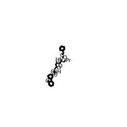 CC(C)C[C@H](NC(=O)OCc1ccccc1)C(=O)N(C)CC(=O)CNS(=O)(=O)c1ccc2oc3ccccc3c2c1